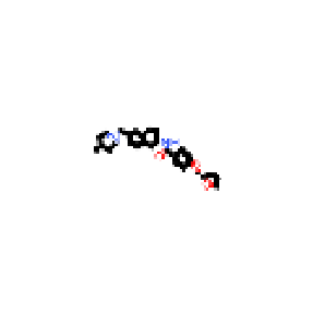 CC1CCN([C@H](C)c2ccc3c(c2)CC[C@H](NC(=O)c2ccc(OC[C@@H]4CCCO4)cc2)C3)CC1